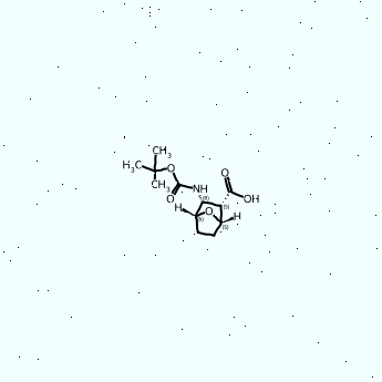 CC(C)(C)OC(=O)N[C@@H]1[C@H](C(=O)O)[C@@H]2CC[C@H]1O2